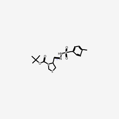 Cc1ccc(S(=O)(=O)N/N=C/C2CSCN2C(=O)OC(C)(C)C)cc1